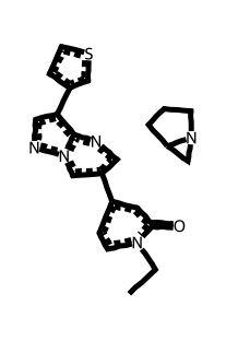 C1CC2CN2C1.CCn1ccc(-c2cnc3c(-c4ccsc4)cnn3c2)cc1=O